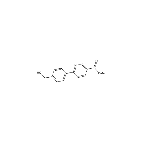 COC(=O)c1ccc(-c2ccc(CO)cc2)nc1